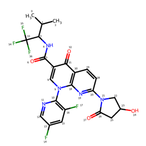 CC(C)C(NC(=O)c1cn(-c2ncc(F)cc2F)c2nc(N3CC(O)CC3=O)ccc2c1=O)C(F)(F)F